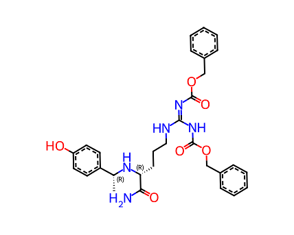 C[C@@H](N[C@H](CCCNC(=NC(=O)OCc1ccccc1)NC(=O)OCc1ccccc1)C(N)=O)c1ccc(O)cc1